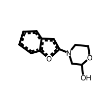 OC1CN(c2cc3ccccc3o2)CCO1